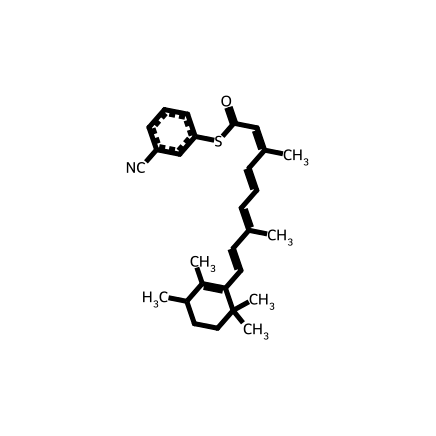 CC1=C(/C=C/C(C)=C/C=C/C(C)=C\C(=O)Sc2cccc(C#N)c2)C(C)(C)CCC1C